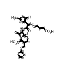 Nc1nc(/C(=N/OC/C=C/C(=O)O)C(=O)NC2C(=O)N3C(C(=O)O)=C(CSc4nncs4)CS[C@H]23)c(Cl)s1